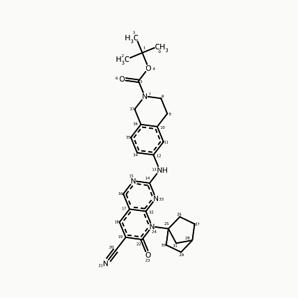 CC(C)(C)OC(=O)N1CCc2cc(Nc3ncc4cc(C#N)c(=O)n(C56CCC(CC5)C6)c4n3)ccc2C1